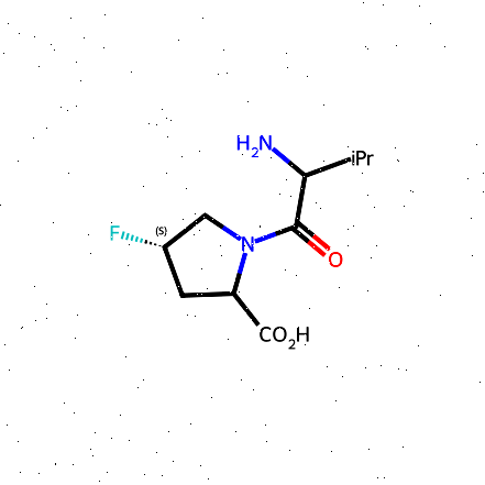 CC(C)C(N)C(=O)N1C[C@@H](F)CC1C(=O)O